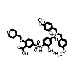 COc1ccc(CN(Cc2ccc(OC)cc2)S(=O)(=O)c2ccc(NS(=O)(=O)c3ccc(OCC4CCOCC4)c(C(=O)O)c3)c(C)c2)cc1